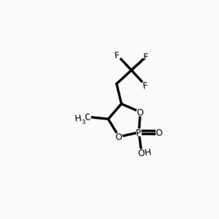 CC1OP(=O)(O)OC1CC(F)(F)F